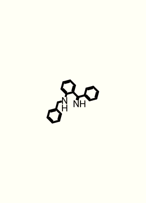 N=C(c1ccccc1)c1ccccc1NCc1ccccc1